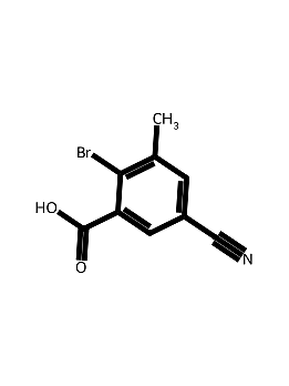 Cc1cc(C#N)cc(C(=O)O)c1Br